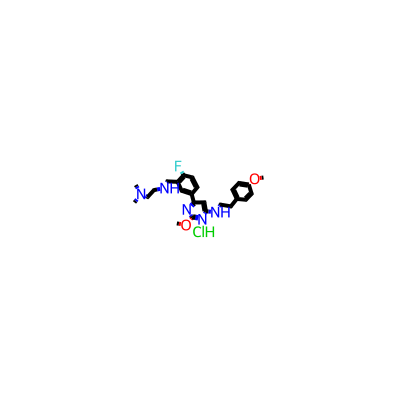 COc1ccc(CCNc2cc(-c3ccc(F)c(CNCCN(C)C)c3)nc(OC)n2)cc1.Cl